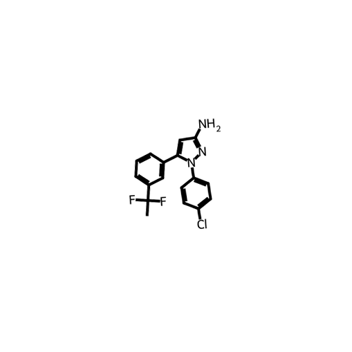 CC(F)(F)c1cccc(-c2cc(N)nn2-c2ccc(Cl)cc2)c1